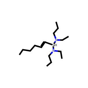 CCCCC=C[SiH](N(CC)CCC)N(CC)CCC